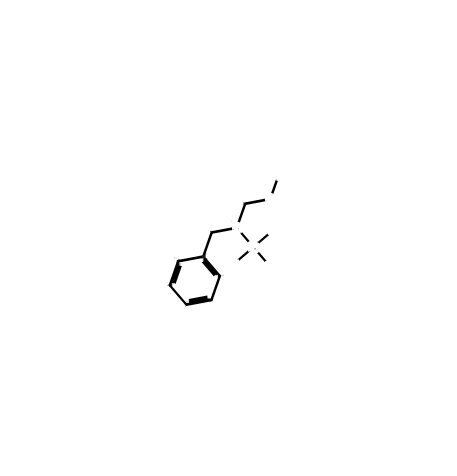 CCCCOCN(Cc1ccccc1)[Si](C)(C)C